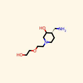 NC[C@@H]1CCN(CCOCCO)CC1O